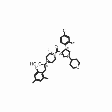 Cc1cc(C)c(C[C@@H](C(=O)O)N2CCN(C(=O)[C@@H]3CN(C4CCOCC4)C[C@H]3c3ccc(Cl)cc3F)[C@@H](C)C2)c(F)c1